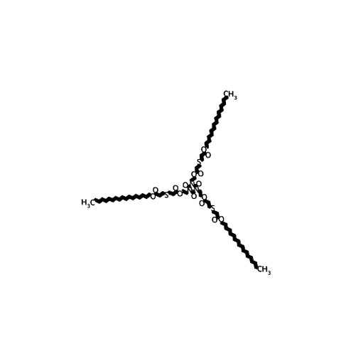 CCCCCCCCCCCCCCCCCCOC(=O)CCSCCC(=O)OCCn1c(=O)n(CCOC(=O)CCSCCC(=O)OCCCCCCCCCCCCCCCCCC)c(=O)n(CCOC(=O)CCSCCC(=O)OCCCCCCCCCCCCCCCCCC)c1=O